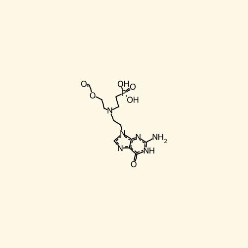 Nc1nc2c(ncn2CCN(CCOC=O)CCP(=O)(O)O)c(=O)[nH]1